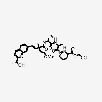 COCCC(C)(C=Cc1ccc2ccc([C@@H](C)O)nc2c1)C(=O)NC(C(=O)NC(C)C(=O)N1CCCC(C(=O)OCC(Cl)(Cl)Cl)N1)C(C)C